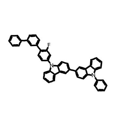 Fc1cc(-n2c3ccccc3c3cc(-c4ccc5c(c4)c4ccccc4n5-c4ccccc4)ccc32)ccc1-c1cccc(-c2ccccc2)c1